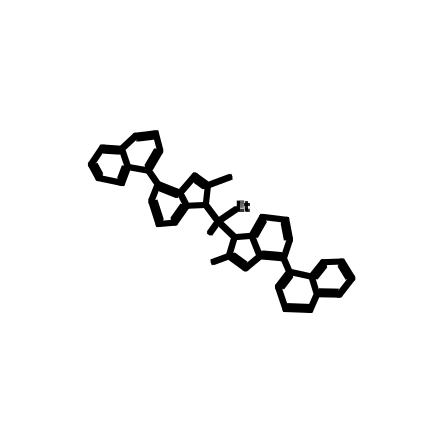 CCC(C)(C1C(C)=Cc2c(-c3cccc4ccccc34)cccc21)C1C(C)=Cc2c(-c3cccc4ccccc34)cccc21